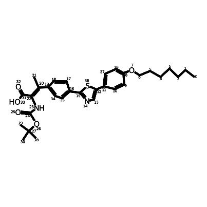 CCCCCCCOc1ccc(-c2cnc(-c3ccc(C(C)=C(NC(=O)OC(C)(C)C)C(=O)O)cc3)s2)cc1